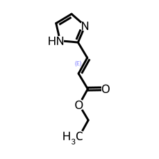 CCOC(=O)/C=C/c1ncc[nH]1